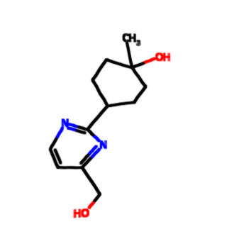 CC1(O)CCC(c2nccc(CO)n2)CC1